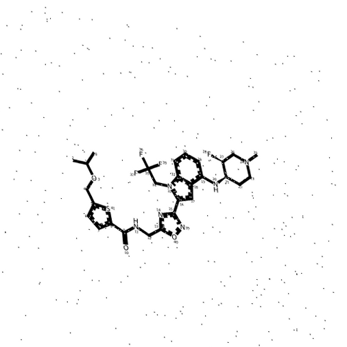 CC(C)OCc1ccc(C(=O)NCc2nc(-c3cc4c(N[C@@H]5CCN(C)C[C@@H]5F)cccc4n3CC(F)(F)F)no2)s1